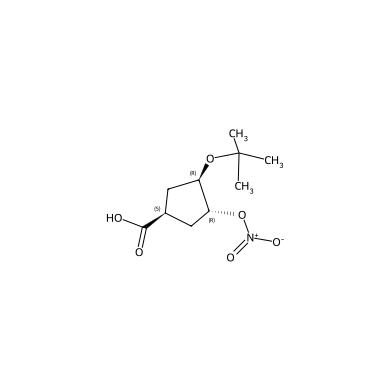 CC(C)(C)O[C@@H]1C[C@H](C(=O)O)C[C@H]1O[N+](=O)[O-]